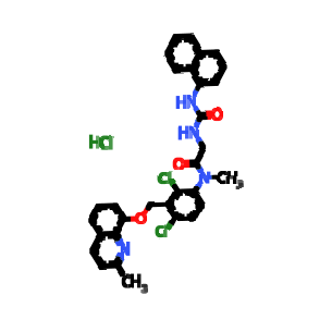 Cc1ccc2cccc(OCc3c(Cl)ccc(N(C)C(=O)CNC(=O)Nc4cccc5ccccc45)c3Cl)c2n1.Cl